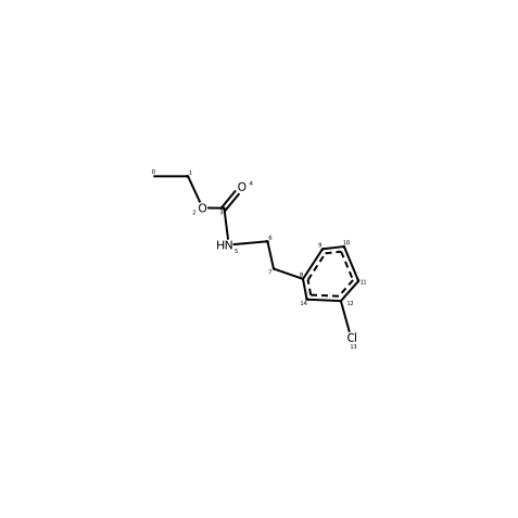 CCOC(=O)NCCc1cccc(Cl)c1